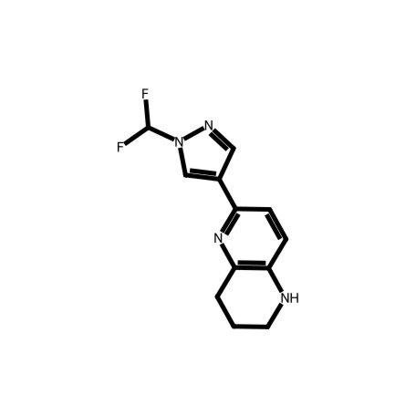 FC(F)n1cc(-c2ccc3c(n2)CCCN3)cn1